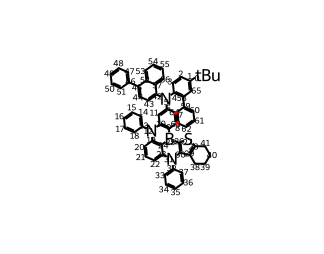 CC(C)(C)c1ccc(N(c2ccc3c(c2)N(c2ccccc2)c2cccc4c2B3c2sc3c(c2N4c2ccccc2)CCCC3)c2ccc(-c3ccccc3)c3ccccc23)c(-c2ccccc2)c1